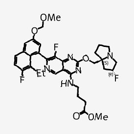 CCc1c(F)ccc2cc(OCOC)cc(-c3ncc4c(NCCCC(=O)OC)nc(OC[C@@]56CCCN5C[C@H](F)C6)nc4c3F)c12